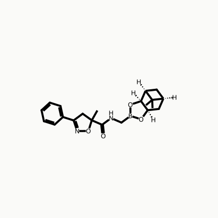 CC1(C(=O)NCB2O[C@H]3[C@H]4C[C@@H](C[C@H]3O2)C4(C)C)CC(c2ccccc2)=NO1